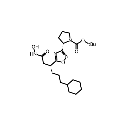 CC(C)(C)OC(=O)N1CCC[C@H]1c1noc([C@H](CCCC2CCCCC2)CC(=O)NO)n1